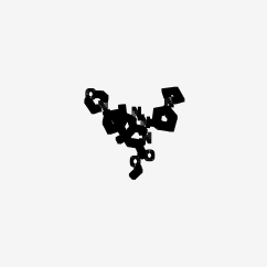 CCOC(=O)C1=CC(C)(c2ccc(N3CCOCC3)cc2)C2C(C(C)C)=NN(c3cccc(N4CCC4)c3)C2=N1